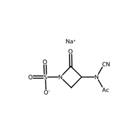 CC(=O)N(C#N)C1CN(S(=O)(=O)[O-])C1=O.[Na+]